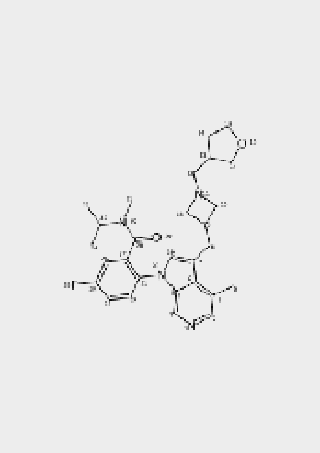 Cc1cncc2c1c(CC1CN(CC3CCOC3)C1)cn2-c1ccc(F)cc1C(=O)N(C)C(C)C